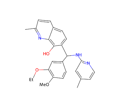 CCOc1cc(C(Nc2cc(C)ccn2)c2ccc3ccc(C)nc3c2O)ccc1OC